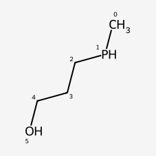 CPCCCO